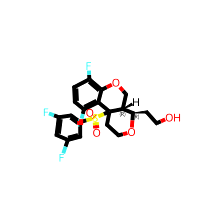 O=S(=O)(c1cc(F)cc(F)c1)C12CCO[C@H](CCO)[C@H]1COc1c(F)ccc(F)c12